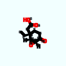 CC[C@@]1(CC(=O)O)CCC(=O)[C@H]2O[C@H]21